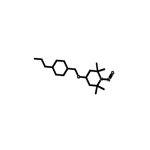 CCCC1CCC(COC2CC(C)(C)N(N=O)C(C)(C)C2)CC1